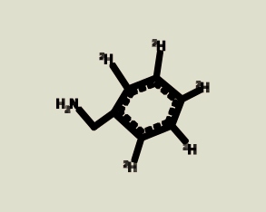 [2H]c1c([2H])c([2H])c(CN)c([2H])c1[2H]